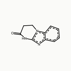 O=C1CCn2c(nc3ccccc32)N1